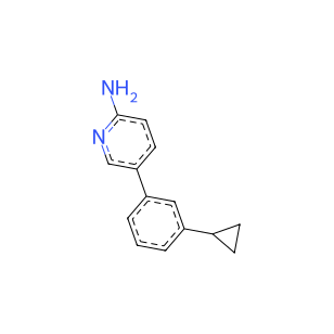 Nc1ccc(-c2cccc(C3CC3)c2)cn1